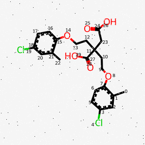 Cc1cc(Cl)ccc1OCCC(CCOc1ccc(Cl)cc1C)(CC(=O)O)C(=O)O